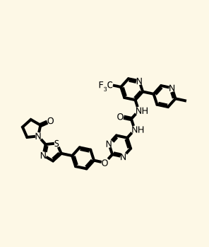 Cc1ccc(-c2ncc(C(F)(F)F)cc2NC(=O)Nc2cnc(Oc3ccc(-c4cnc(N5CCCC5=O)s4)cc3)nc2)cn1